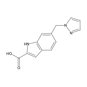 O=C(O)c1cc2ccc(Cn3cccn3)cc2[nH]1